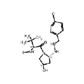 CC(C)(C)[C@H](NI)C(=O)N1C[C@H](O)C[C@H]1NNCc1ccc(Cl)cc1